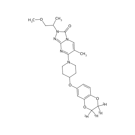 [2H]C1([2H])Oc2ccc(OC3CCN(c4nc5nn(C(C)COC)c(=O)n5cc4C)CC3)cc2OC1([2H])[2H]